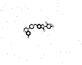 O=C1CCC(N2Cc3cc(CN4CCC(N5CCOc6cc(F)ccc65)CC4)ccc3C2=O)C(=O)N1